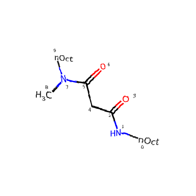 CCCCCCCCNC(=O)CC(=O)N(C)CCCCCCCC